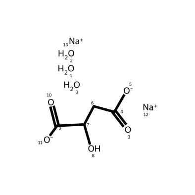 O.O.O.O=C([O-])CC(O)C(=O)[O-].[Na+].[Na+]